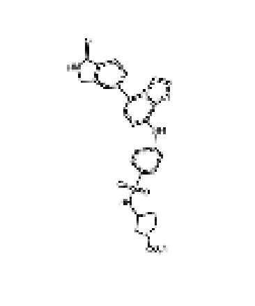 O=C1NCc2cc(-c3ccc(Nc4ccc(S(=O)(=O)NC5CCN(C(=O)O)C5)cc4)c4nccn34)ccc21